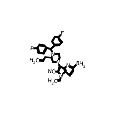 Bc1ccc2c(n1)c(N1CCN(C(C3=CC=C(F)CC3)c3ccc(F)cc3)C(CC=C)C1)c(C#N)n2C=C